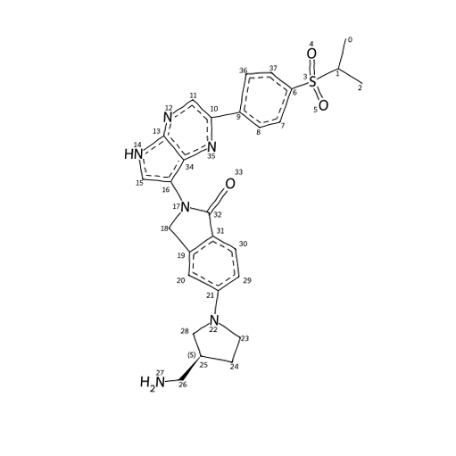 CC(C)S(=O)(=O)c1ccc(-c2cnc3[nH]cc(N4Cc5cc(N6CC[C@@H](CN)C6)ccc5C4=O)c3n2)cc1